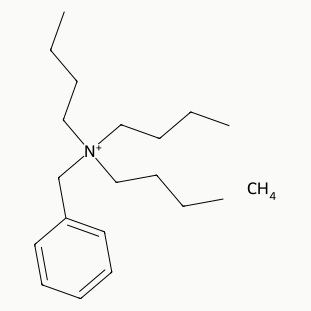 C.CCCC[N+](CCCC)(CCCC)Cc1ccccc1